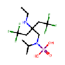 CCNC(CN(C(C)C)P(=O)(O)O)(CC(F)(F)F)CC(F)(F)F